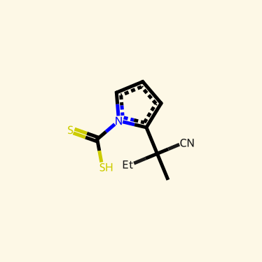 CCC(C)(C#N)c1cccn1C(=S)S